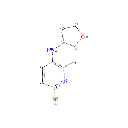 Cc1nc(Br)ccc1NC1CCOC1